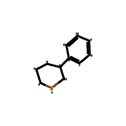 [C]1SCCCC1c1ccccc1